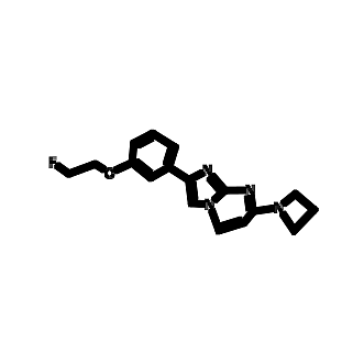 FCCOc1cccc(-c2cn3ccc(N4CCC4)nc3n2)c1